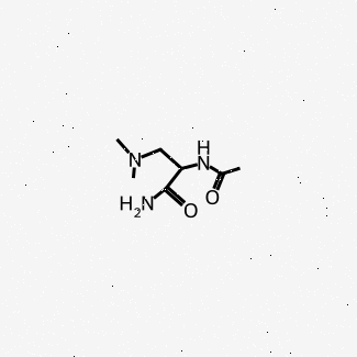 CC(=O)NC(CN(C)C)C(N)=O